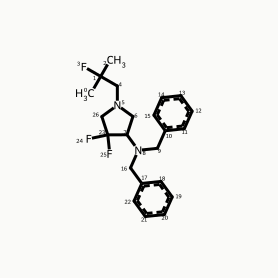 CC(C)(F)CN1CC(N(Cc2ccccc2)Cc2ccccc2)C(F)(F)C1